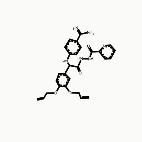 C=CCOc1ccc(C(Nc2ccc(C(=N)N)cc2)C(=O)NNC(=O)c2ccccn2)cc1OCC=C